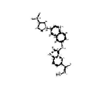 C/C(=N/O)c1ccc2nnc(Sc3ccc4ncc(N5CCC(N(C)C)C5)cc4c3)n2c1